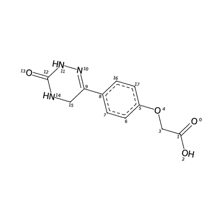 O=C(O)COc1ccc(C2=NNC(=O)NC2)cc1